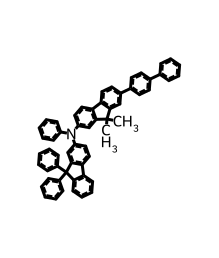 CC1(C)c2cc(-c3ccc(-c4ccccc4)cc3)ccc2-c2ccc(N(c3ccccc3)c3ccc4c(c3)C(c3ccccc3)(c3ccccc3)c3ccccc3-4)cc21